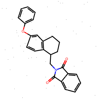 O=C1c2ccccc2C(=O)N1CC1CCCc2cc(Oc3ccccc3)ccc21